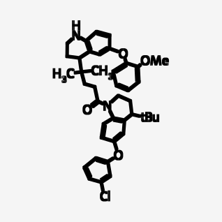 COc1ccccc1Oc1ccc2c(c1)C(C(C)(C)CCC(=O)N1CCC(C(C)(C)C)c3cc(Oc4cccc(Cl)c4)ccc31)CCN2